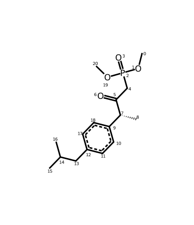 COP(=O)(CC(=O)[C@H](C)c1ccc(CC(C)C)cc1)OC